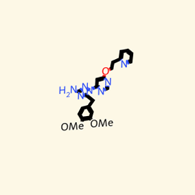 COc1ccc(Cc2nc(N)nn2-c2cc(OCCc3ccccn3)ncn2)cc1OC